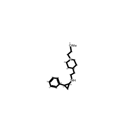 COCCN1CCC(CCNC2CC2c2ccccc2)CC1